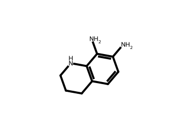 Nc1ccc2c(c1N)NCCC2